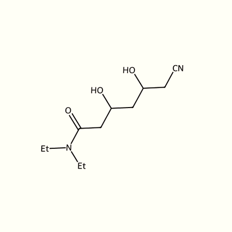 CCN(CC)C(=O)CC(O)CC(O)CC#N